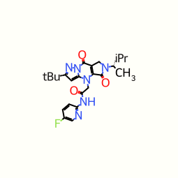 CC(C)[C@H](C)N1Cc2c(n(CC(=O)Nc3ccc(F)cn3)c3cc(C(C)(C)C)nn3c2=O)C1=O